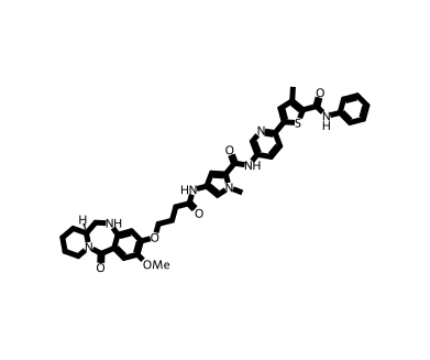 COc1cc2c(cc1OCCCC(=O)Nc1cc(C(=O)Nc3ccc(-c4cc(C)c(C(=O)Nc5ccccc5)s4)nc3)n(C)c1)NC[C@@H]1CCCCN1C2=O